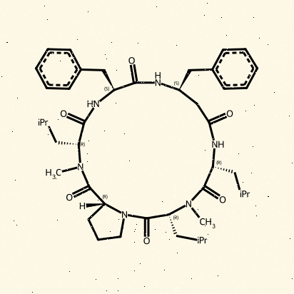 CC(C)C[C@@H]1C(=O)N[C@@H](Cc2ccccc2)C(=O)N[C@@H](Cc2ccccc2)CC(=O)N[C@H](CC(C)C)C(=O)N(C)[C@H](CC(C)C)C(=O)N2CCC[C@@H]2C(=O)N1C